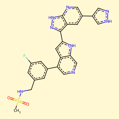 CS(=O)(=O)NCc1cc(F)cc(-c2cncc3[nH]c(-c4n[nH]c5ncc(-c6cn[nH]c6)cc45)cc23)c1